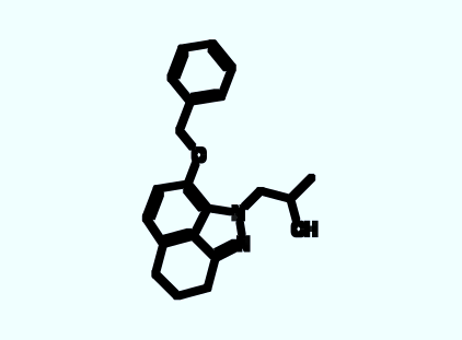 CC(O)Cn1nc2c3c(ccc(OCc4ccccc4)c31)CCC2